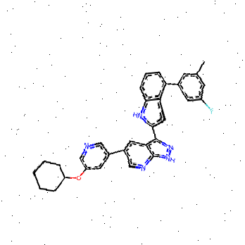 Cc1cc(F)cc(-c2cccc3[nH]c(-c4n[nH]c5ncc(-c6cncc(OC7CCCCC7)c6)cc45)cc23)c1